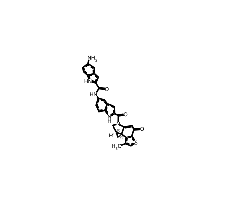 Cc1csc2c1[C@]13C[C@H]1CN(C(=O)c1cc4cc(NC(=O)c5cc6cc(N)ccc6[nH]5)ccc4[nH]1)C3=CC2=O